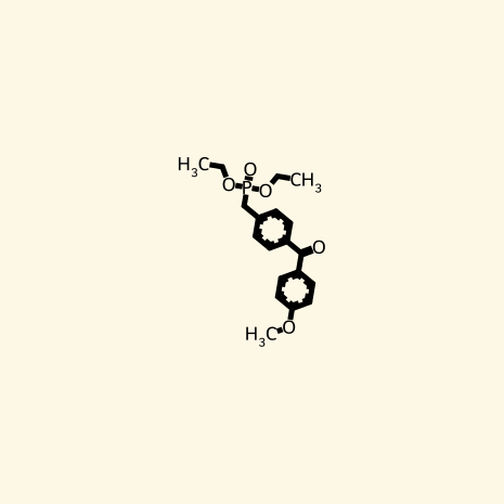 CCOP(=O)(Cc1ccc(C(=O)c2ccc(OC)cc2)cc1)OCC